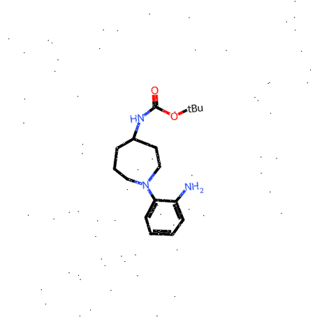 CC(C)(C)OC(=O)NC1CCCN(c2ccccc2N)CC1